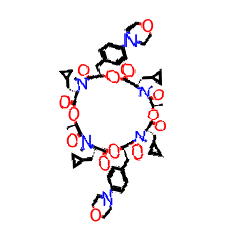 C[C@H]1OC(=O)[C@H](CC2CC2)N(C)C(=O)[C@@H](Cc2ccc(N3CCOCC3)cc2)OC(=O)[C@H](CC2CC2)N(C)C(=O)[C@@H](C)OC(=O)[C@H](CC2CC2)N(C)C(=O)[C@@H](Cc2ccc(N3CCOCC3)cc2)OC(=O)[C@H](CC2CC2)N(C)C1=O